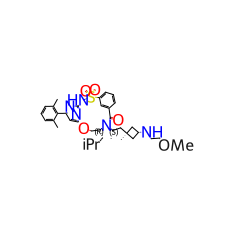 COCCN[C@H]1C[C@](C)(C[C@H](C)N2C(=O)c3cccc(c3)S(=O)(=O)Nc3nc(cc(-c4c(C)cccc4C)n3)OC[C@H]2CC(C)C)C1